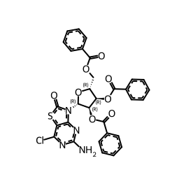 Nc1nc(Cl)c2sc(=O)n([C@@H]3O[C@H](COC(=O)c4ccccc4)[C@@H](OC(=O)c4ccccc4)[C@H]3OC(=O)c3ccccc3)c2n1